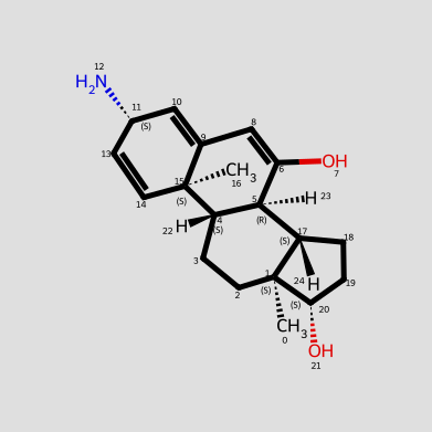 C[C@]12CC[C@H]3[C@@H](C(O)=CC4=C[C@@H](N)C=C[C@@]43C)[C@@H]1CC[C@@H]2O